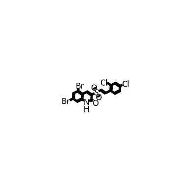 O=c1[nH]c2cc(Br)cc(Br)c2cc1S(=O)(=O)/C=C/c1ccc(Cl)cc1Cl